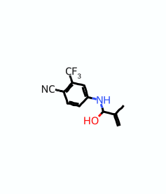 C=C(C)C(O)Nc1ccc(C#N)c(C(F)(F)F)c1